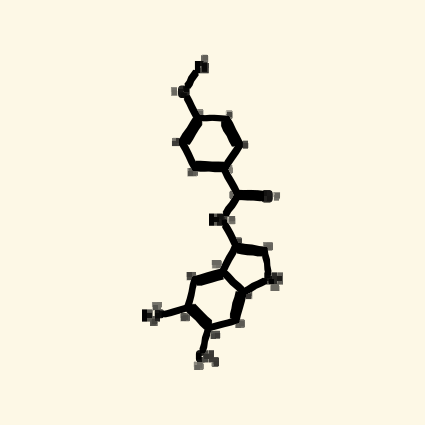 CCOc1ccc(C(=O)Nc2c[nH]c3cc(C)c(P)cc23)cc1